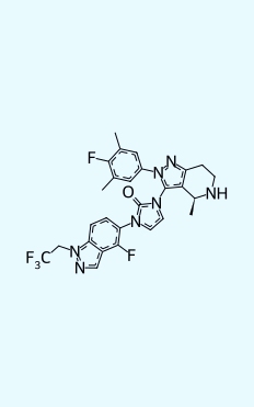 Cc1cc(-n2nc3c(c2-n2ccn(-c4ccc5c(cnn5CC(F)(F)F)c4F)c2=O)[C@H](C)NCC3)cc(C)c1F